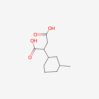 CC1CCCC(C(CC(=O)O)C(=O)O)C1